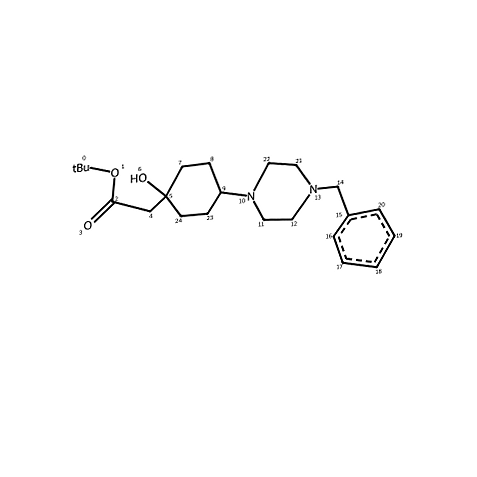 CC(C)(C)OC(=O)CC1(O)CCC(N2CCN(Cc3ccccc3)CC2)CC1